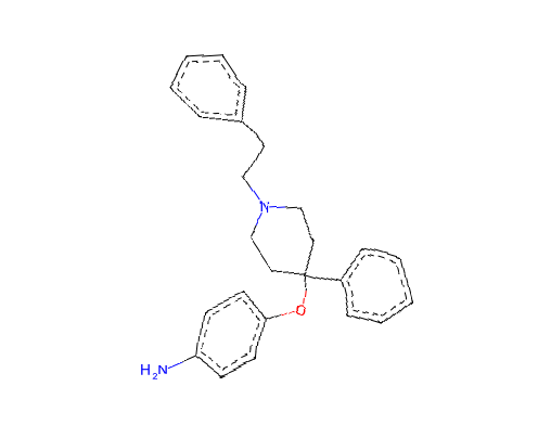 Nc1ccc(OC2(c3ccccc3)CCN(CCc3ccccc3)CC2)cc1